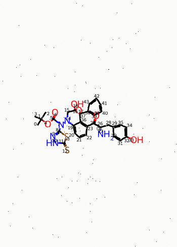 CC(C)(C)OC(=O)N(c1n[nH]c(=S)s1)N(CC(=O)O)c1cccc(C(=O)[C@@H](N)Cc2ccc(O)cc2)c1Cc1ccccc1